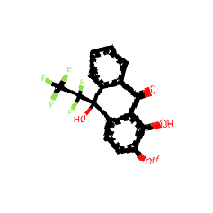 O=C1c2ccccc2C(O)(C(F)(F)C(F)(F)F)c2ccc(O)c(O)c21